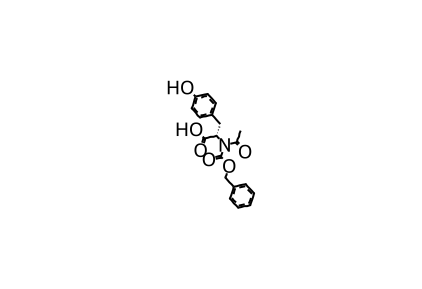 CC(=O)N(C(=O)OCc1ccccc1)[C@@H](Cc1ccc(O)cc1)C(=O)O